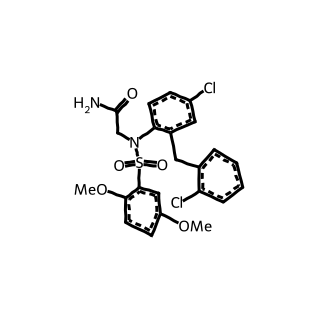 COc1ccc(OC)c(S(=O)(=O)N(CC(N)=O)c2ccc(Cl)cc2Cc2ccccc2Cl)c1